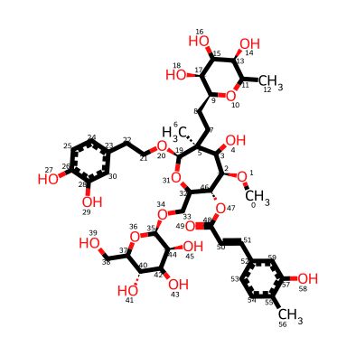 CO[C@@H]1C(O)[C@](C)(CC[C@@H]2OC(C)[C@H](O)C(O)[C@@H]2O)[C@H](OCCc2ccc(O)c(O)c2)OC(CO[C@@H]2OC(CO)[C@@H](O)C(O)[C@@H]2O)[C@H]1OC(=O)/C=C/c1ccc(C)c(O)c1